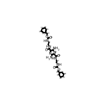 Nc1nc(C(=O)NCCNC(=O)OCc2ccccc2)c(N)nc1C(=O)NCCNC(=O)OCc1ccccc1